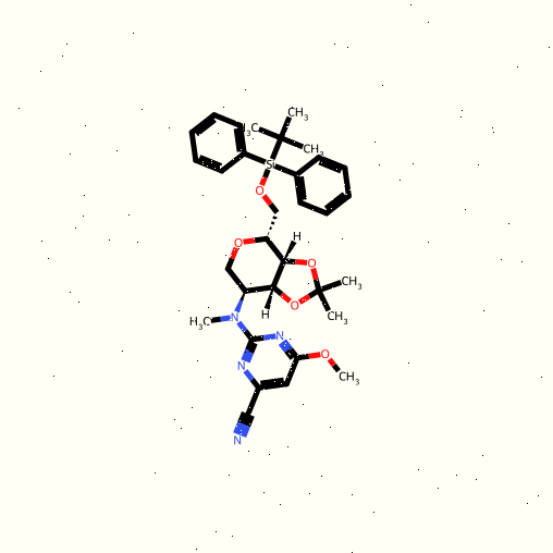 COc1cc(C#N)nc(N(C)[C@H]2CO[C@H](CO[Si](c3ccccc3)(c3ccccc3)C(C)(C)C)[C@@H]3OC(C)(C)O[C@@H]32)n1